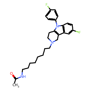 CC(=O)NCCCCCCCCN1CCc2c(c3cc(F)ccc3n2-c2ccc(F)cc2)C1